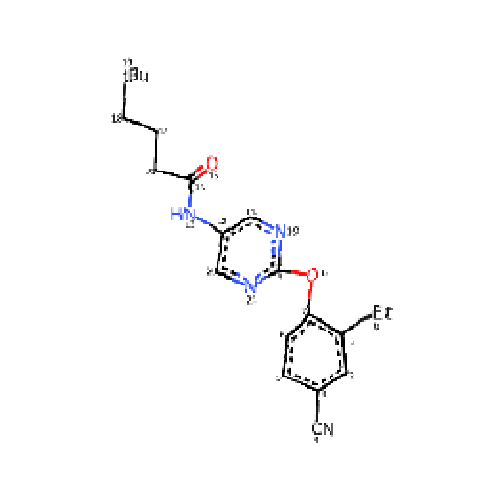 CCc1cc(C#N)ccc1Oc1ncc(NC(=O)[CH]CCC(C)(C)C)cn1